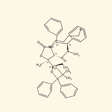 CC[C@@H](O[Si](c1ccccc1)(c1ccccc1)C(C)(C)C)[C@@]1(C)OC(=O)N(CCCCBr)[C@@H]1C(=O)N(C)[C@H](c1ccccc1)[C@H](O)c1ccccc1